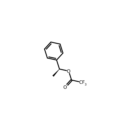 C[C@H](OC(=O)C(F)(F)F)c1ccccc1